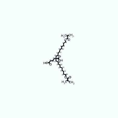 C=C(C)C(=O)OCCCCCCCCCCC(CCCCCCCCCCOC(=O)C(=C)C)(CCCC(=O)O)C(=O)O